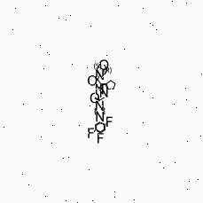 C[C@@H]1CN(C(=O)c2nn(CC(=O)N3CCN(c4cc(F)c(F)cc4F)CC3)c3c2CCC3)C[C@H](C)O1